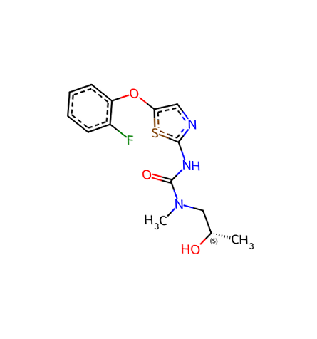 C[C@H](O)CN(C)C(=O)Nc1ncc(Oc2ccccc2F)s1